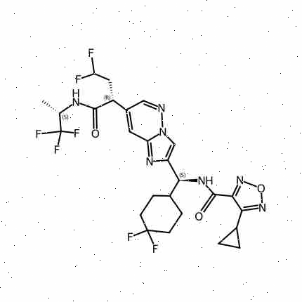 C[C@H](NC(=O)[C@H](CC(F)F)c1cnn2cc([C@@H](NC(=O)c3nonc3C3CC3)C3CCC(F)(F)CC3)nc2c1)C(F)(F)F